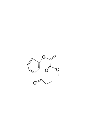 C=C(Oc1ccccc1)C(=O)OC.CCC=O